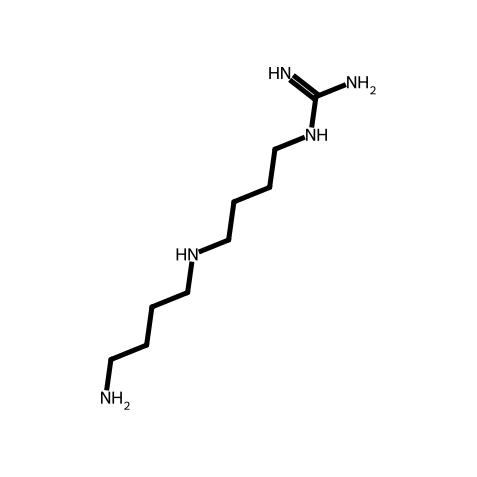 N=C(N)NCCCCNCCCCN